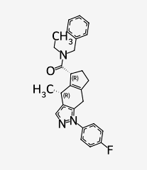 CCN(Cc1ccccc1)C(=O)[C@@H]1CCC2=C1[C@@H](C)c1cnn(-c3ccc(F)cc3)c1C2